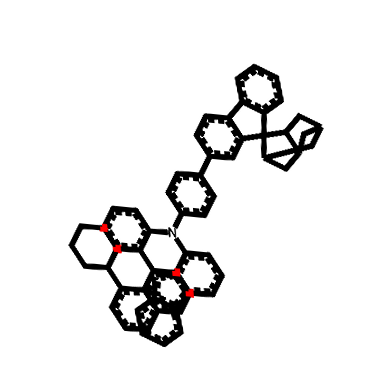 c1ccc(N(c2ccc(-c3ccc4c(c3)C3(c5ccccc5-4)C4CC5CC(C4)C3C5)cc2)c2cccc3c2oc2ccccc23)c(-c2cccc3cccc(C4CCCCC4)c23)c1